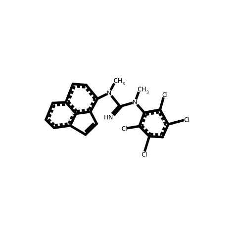 CN(C(=N)N(C)c1c(Cl)c(Cl)cc(Cl)c1Cl)c1ccc2cccc3c2c1C=C3